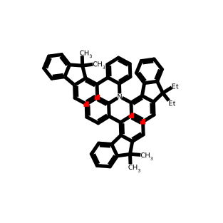 CCC1(CC)c2ccccc2-c2c(N(c3ccccc3-c3cccc4c3-c3ccccc3C4(C)C)c3ccccc3-c3cccc4c3C(C)(C)c3ccccc3-4)cccc21